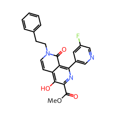 COC(=O)c1nc(-c2cncc(F)c2)c2c(=O)n(CCc3ccccc3)ccc2c1O